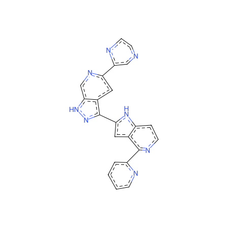 c1ccc(-c2nccc3[nH]c(-c4n[nH]c5cnc(-c6cnccn6)cc45)cc23)nc1